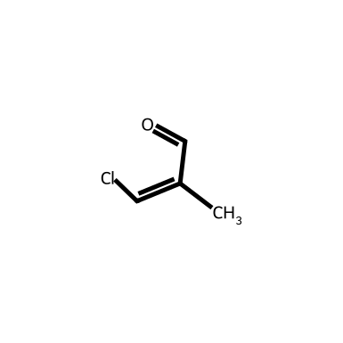 CC(C=O)=CCl